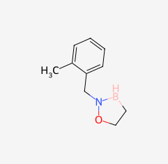 Cc1ccccc1CN1BCCO1